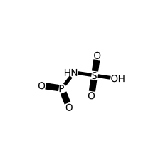 O=P(=O)NS(=O)(=O)O